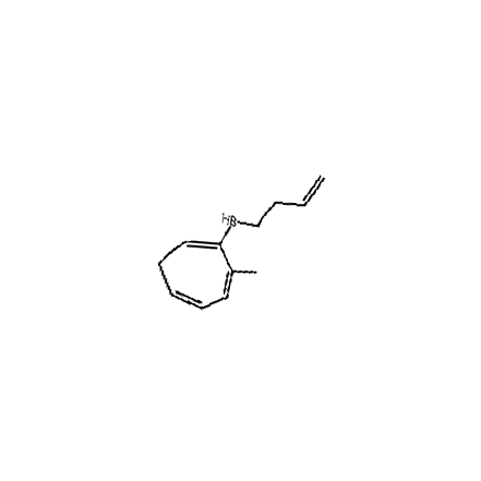 C=CCCBC1=CCC=CC=C1C